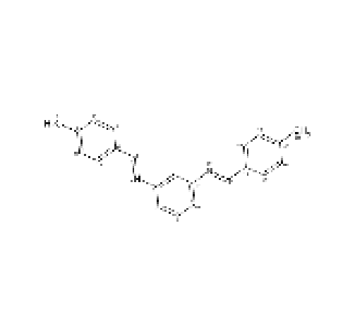 Cc1ccc(/C=N/c2cccc(/N=C/c3ccc(C)cc3)c2)cc1